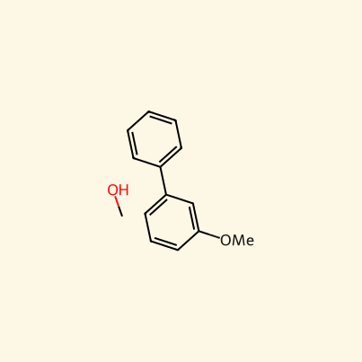 CO.COc1cccc(-c2ccccc2)c1